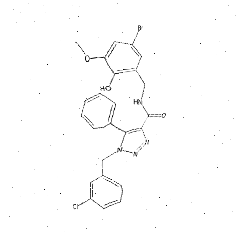 COc1cc(Br)cc(CNC(=O)c2nnn(Cc3cccc(Cl)c3)c2-c2ccccc2)c1O